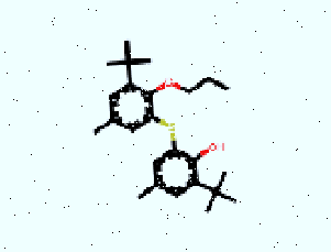 CCCOc1c(Sc2cc(C)cc(C(C)(C)C)c2O)cc(C)cc1C(C)(C)C